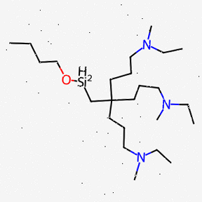 CCCCO[SiH2]CC(CCCN(C)CC)(CCCN(C)CC)CCCN(C)CC